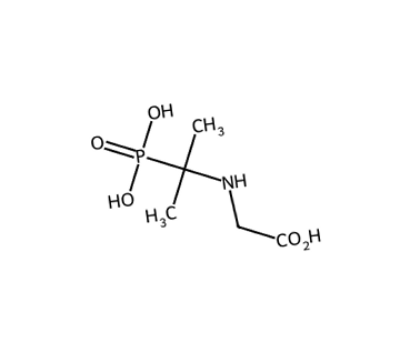 CC(C)(NCC(=O)O)P(=O)(O)O